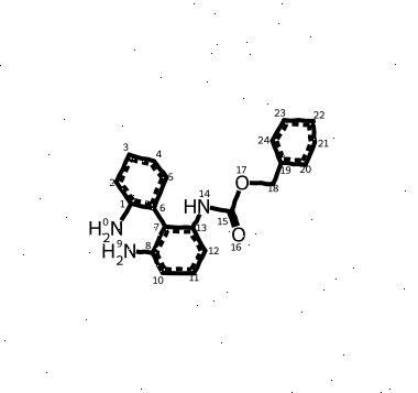 Nc1ccccc1-c1c(N)cccc1NC(=O)OCc1ccccc1